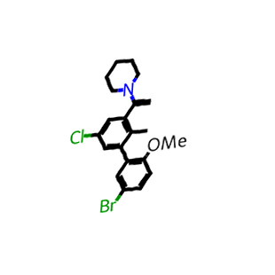 C=C(c1cc(Cl)cc(-c2cc(Br)ccc2OC)c1C)N1CCCCC1